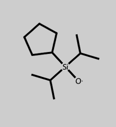 CC(C)[Si]([O])(C(C)C)C1CCCC1